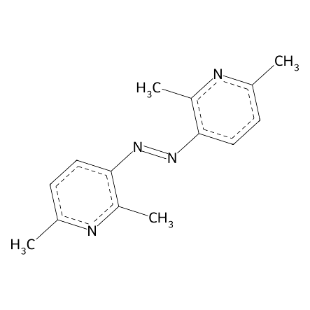 Cc1ccc(N=Nc2ccc(C)nc2C)c(C)n1